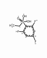 CCS(=O)(O)(O)c1c(F)cc(F)cc1F